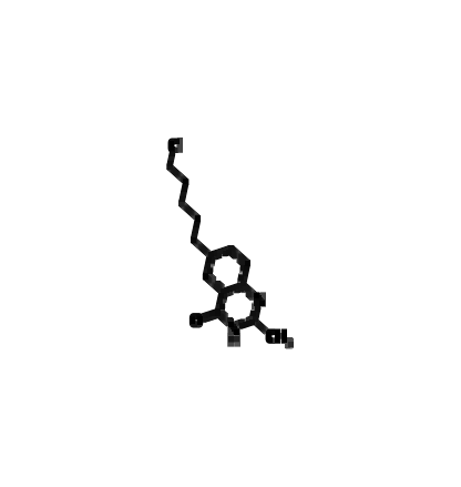 Cc1nc2ccc(CCCCCCl)cc2c(=O)[nH]1